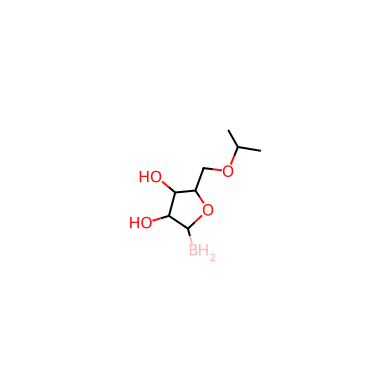 BC1OC(COC(C)C)C(O)C1O